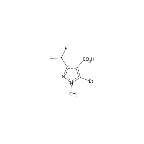 CCc1c(C(=O)O)c(C(F)F)nn1C